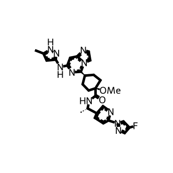 CO[C@]1(C(=O)N[C@@H](C)c2ccc(-n3cc(F)cn3)nc2)CC[C@H](c2nc(Nc3cc(C)[nH]n3)cc3nccn32)CC1